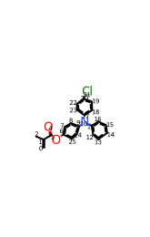 C=C(C)C(=O)Oc1ccc(N(c2ccccc2)c2ccc(Cl)cc2)cc1